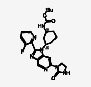 CC(C)(C)OC(=O)N[C@H]1CCC[C@@H](n2c(-c3ncccc3F)nc3cnc(N4CCNC4=O)cc32)C1